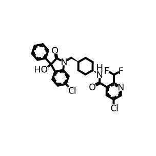 O=C(N[C@H]1CC[C@H](CN2C(=O)C(O)(c3ccccc3)c3ccc(Cl)cc32)CC1)c1cc(Cl)cnc1C(F)F